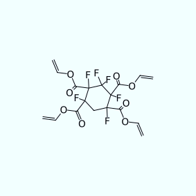 C=COC(=O)C1(F)CC(F)(C(=O)OC=C)C(F)(C(=O)OC=C)C(F)(F)C1(F)C(=O)OC=C